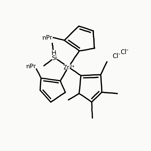 CCCC1=[C]([Zr+2]([C]2=C(CCC)C=CC2)([C]2=C(C)C(C)=C(C)C2C)[SiH](C)C)CC=C1.[Cl-].[Cl-]